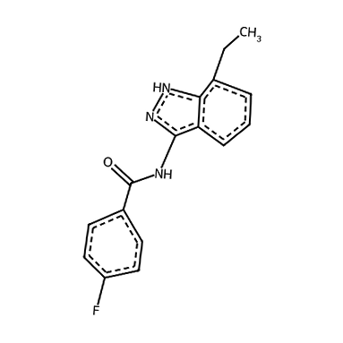 CCc1cccc2c(NC(=O)c3ccc(F)cc3)n[nH]c12